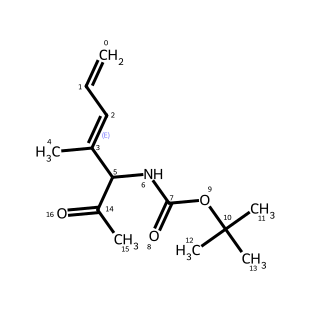 C=C/C=C(\C)C(NC(=O)OC(C)(C)C)C(C)=O